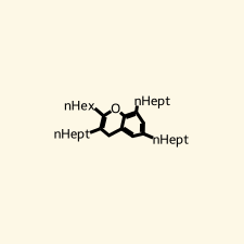 CCCCCCCC1=C(CCCCCC)Oc2c(CCCCCCC)cc(CCCCCCC)cc2C1